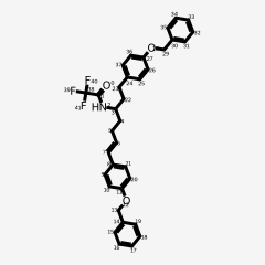 O=C(NC(CC/C=C/c1ccc(OCc2ccccc2)cc1)CCc1ccc(OCc2ccccc2)cc1)C(F)(F)F